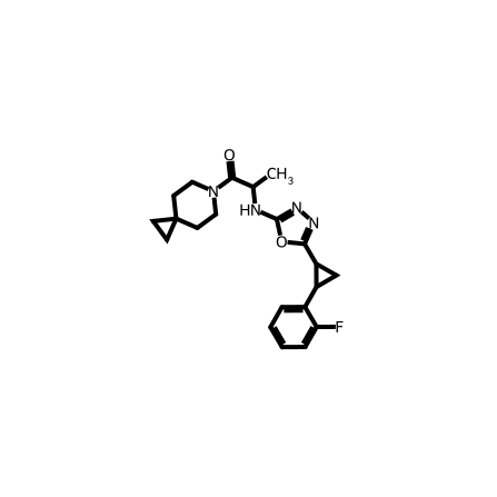 CC(Nc1nnc(C2CC2c2ccccc2F)o1)C(=O)N1CCC2(CC1)CC2